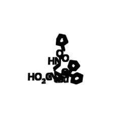 CC(C)(C)[Si](O[C@H]1CCN(C(=O)O)[C@@H]1CCNC(=O)OCc1ccccc1)(c1ccccc1)c1ccccc1